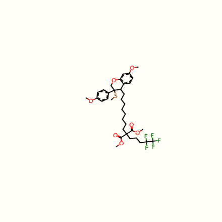 COC(=O)C(CCCCCCCCC1c2ccc(OC)cc2OCC1(SC)c1ccc(OC)cc1)(CCCC(F)(F)C(F)(F)F)C(=O)OC